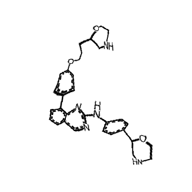 c1cc(-c2ccc(OCCC3CNCCO3)cc2)c2nc(Nc3ccc(C4CNCCO4)cc3)ncc2c1